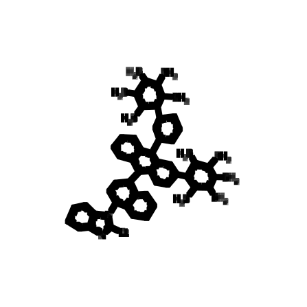 Bc1c(B)c(B)c(-c2cccc(-c3c4ccccc4c(-c4ccc(-n5c(CC)nc6ccccc65)c5ccccc45)c4ccc(-c5c(B)c(B)c(B)c(B)c5B)cc34)c2)c(B)c1B